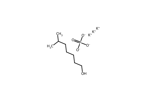 CC(C)CCCCCO.O=P([O-])([O-])[O-].[K+].[K+].[K+]